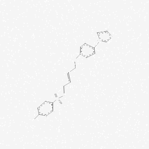 Cc1ccc(S(=O)(=O)NCC=CCOc2ccc(-n3ccnc3)cc2)cc1